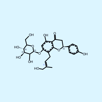 C/C(=C\Cc1c(O[C@@H]2OC(CO)[C@@H](O)[C@H](O)C2O)cc(O)c2c1O[C@H](c1ccc(O)cc1)CC2=O)CO